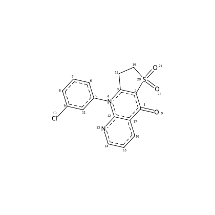 O=c1c2c(n(-c3cccc(Cl)c3)c3ncccc13)CCS2(=O)=O